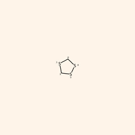 C1SCSS1